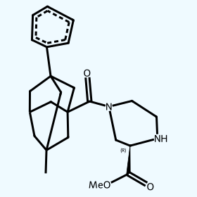 COC(=O)[C@H]1CN(C(=O)C23CC4CC(C)(C2)CC(c2ccccc2)(C4)C3)CCN1